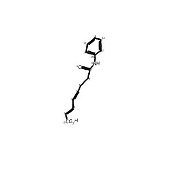 O=C(O)/C=C/C=C/CCC(=O)Nc1ccccc1